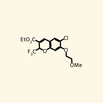 CCOC(=O)C1=Cc2cc(Cl)c(OCCOC)cc2OC1C(F)(F)F